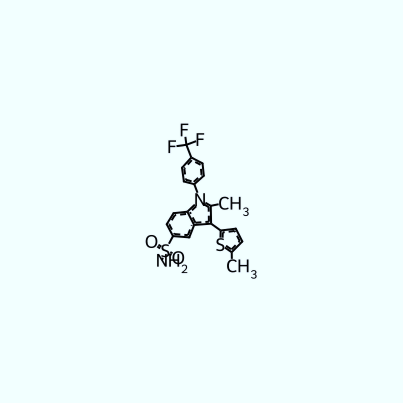 Cc1ccc(-c2c(C)n(-c3ccc(C(F)(F)F)cc3)c3ccc(S(N)(=O)=O)cc23)s1